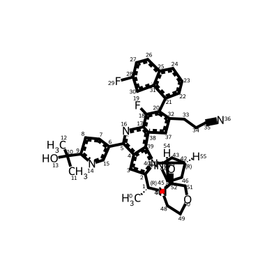 C[C@H](c1cc2c(-c3ccc(C(C)(C)O)nc3)nc3c(F)c(-c4cccc5ccc(F)cc45)c(CCC#N)cc3c2n1[C@H]1[C@H]2CN[C@@H]1C2)N1CCOCC1=O